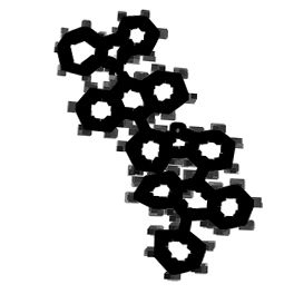 C1=CC=CC=c2c=1c1ccccc1n2-c1c2ccccc2c(-c2cccc3c2oc2cccc(-c4c5ccccc5c(-c5ccccc5)c5ccccc45)c23)c2ccccc12